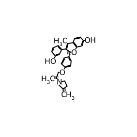 CC1=C(c2cccc(O)c2)[C@H](c2ccc(OC[C@H](C)N3CC[C@@H](C)C3)cc2)Oc2cc(O)ccc21